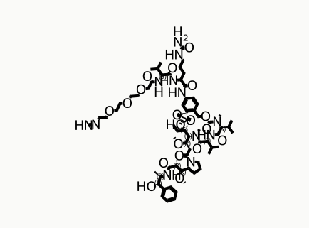 CC[C@H](C)[C@@H]([C@@H](CC(=O)N1CCCC1[C@H](OC)[C@@H](C)C(=O)N[C@H](C)[C@@H](O)c1ccccc1)OC)N(C)C(=O)[C@@H](NC(=O)[C@H](C(C)C)N(C)C(=O)OCc1ccc(NC(=O)C(CCCNC(N)=O)NC(=O)[C@@H](NC(=O)COCCOCCOCCN=N)C(C)C)cc1S(=O)(=O)O)C(C)C